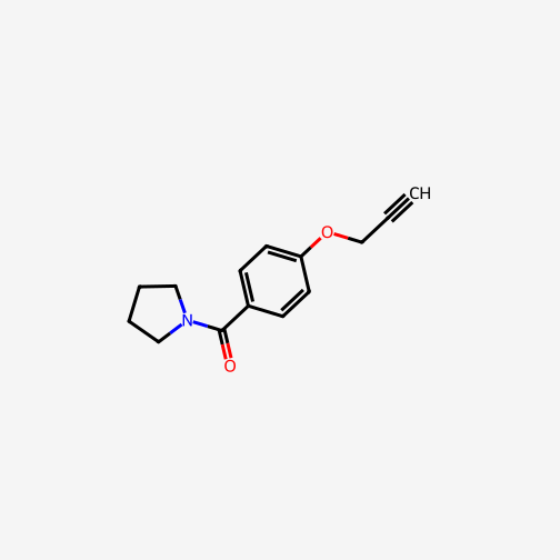 C#CCOc1ccc(C(=O)N2CCCC2)cc1